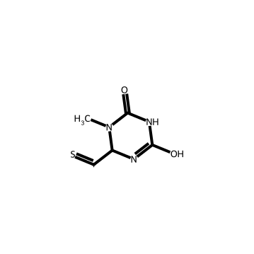 CN1C(=O)NC(O)=NC1[C]=S